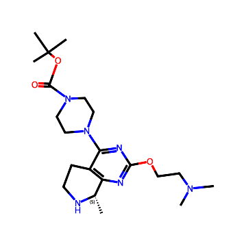 C[C@@H]1NCCc2c1nc(OCCN(C)C)nc2N1CCN(C(=O)OC(C)(C)C)CC1